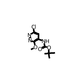 COc1nnc(Cl)cc1NC(=O)OC(C)(C)C